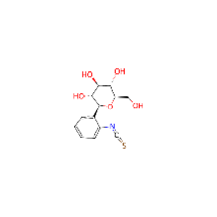 OC[C@H]1O[C@@H](c2ccccc2N=C=S)[C@H](O)[C@@H](O)[C@@H]1O